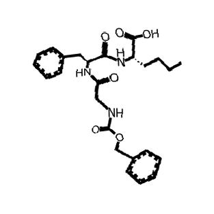 CCCC[C@H](NC(=O)[C@H](Cc1ccccc1)NC(=O)CNC(=O)OCc1ccccc1)C(=O)O